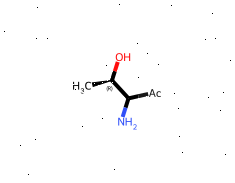 CC(=O)C(N)[C@@H](C)O